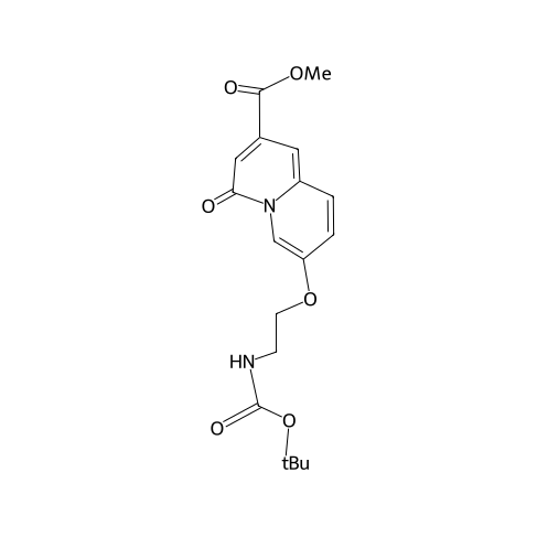 COC(=O)c1cc(=O)n2cc(OCCNC(=O)OC(C)(C)C)ccc2c1